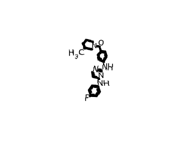 CC1CCCN(C(=O)c2ccc(Nc3nccc(Nc4ccc(F)cc4)n3)cc2)C1